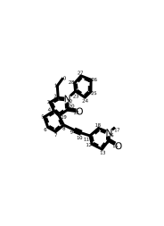 CCc1cc2cccc(C#Cc3ccc(=O)n(C)c3)c2c(=O)n1-c1ccccc1